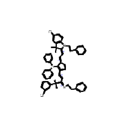 CC(C)(C(/C=C/C1=C(N(c2ccccc2)c2ccccc2)C(=C/C=C2/N(CCc3ccccc3)c3ccc(Cl)cc3C2(C)C)/CC1)=N/CCc1ccccc1)c1cccc(Cl)c1